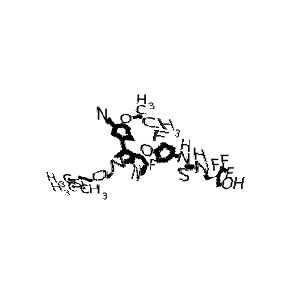 CC(C)Oc1ccc(-c2cn(COCC[Si](C)(C)C)c3nccc(Oc4c(F)cc(NC(=S)NC[C@H](CO)C(F)(F)F)cc4F)c23)cc1C#N